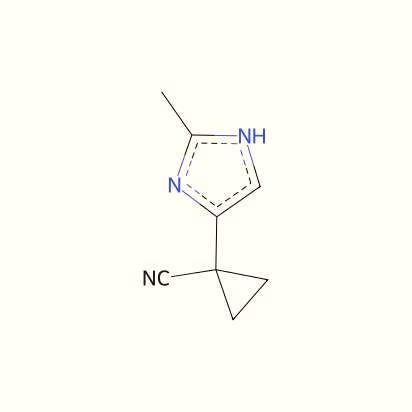 Cc1nc(C2(C#N)CC2)c[nH]1